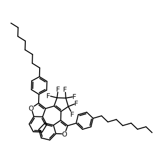 CCCCCCCCc1ccc(-c2oc3ccccc3c2C2=C(c3c(-c4ccc(CCCCCCCC)cc4)oc4ccccc34)C(F)(F)C(F)(F)C2(F)F)cc1